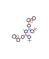 Cc1cc2c3c(c1)N(c1ccc(-c4cccc5c4oc4ccccc45)cc1)c1cc(C(C)(C)C)ccc1B3c1ccc(C(C)(C)C)cc1N2c1ccc(-c2cccc3c2oc2ccccc23)cc1